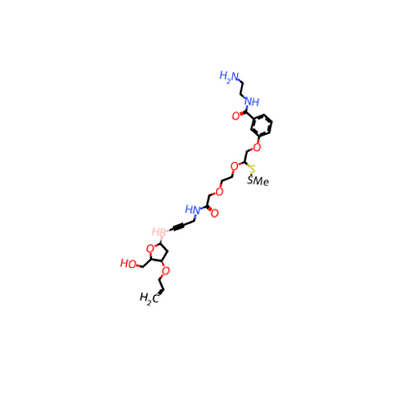 C=CCO[C@@H]1C[C@H](BC#CCNC(=O)COCCOC(COc2cccc(C(=O)NCCN)c2)SSC)OC1CO